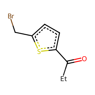 CCC(=O)c1ccc(CBr)s1